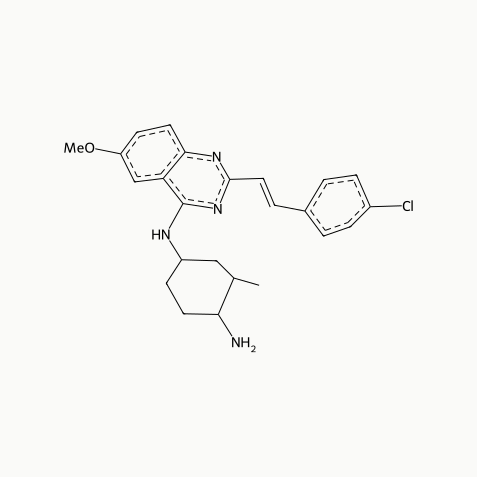 COc1ccc2nc(C=Cc3ccc(Cl)cc3)nc(NC3CCC(N)C(C)C3)c2c1